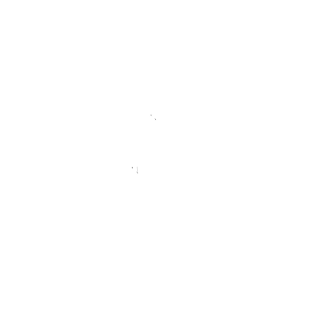 O=c1c(Nc2ccccc2)c(N2CCCC2)c1=O